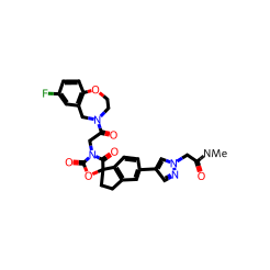 CNC(=O)Cn1cc(-c2ccc3c(c2)CCC32OC(=O)N(CC(=O)N3CCOc4ccc(F)cc4C3)C2=O)cn1